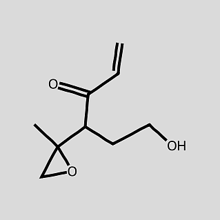 C=CC(=O)C(CCO)C1(C)CO1